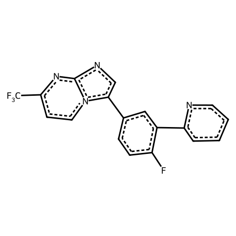 Fc1ccc(-c2cnc3nc(C(F)(F)F)ccn23)cc1-c1ccccn1